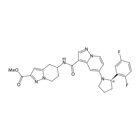 COC(=O)c1cc2n(n1)CCC(NC(=O)c1cnn3ccc(N4CCC[C@@H]4c4cc(F)ccc4F)cc13)C2